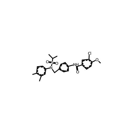 COc1ccc(C(=O)Nc2ccc(CN(c3ccc(C)c(C)c3)S(=O)(=O)C(C)C)cc2)cc1Cl